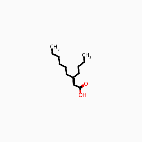 CCCCCC/C(=C/C(=O)O)CCCC